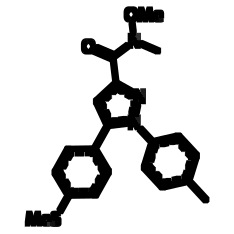 CON(C)C(=O)c1cc(-c2ccc(SC)cc2)n(-c2ccc(C)cc2)n1